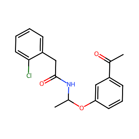 CC(=O)c1cccc(OC(C)NC(=O)Cc2ccccc2Cl)c1